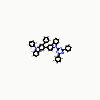 c1ccc(C2=NC(n3c4ccccc4c4cc(-c5cc6c7ccccc7n(-c7ccccc7)c6cc5-c5ccccc5)ccc43)=NC(c3ccccc3)N2)cc1